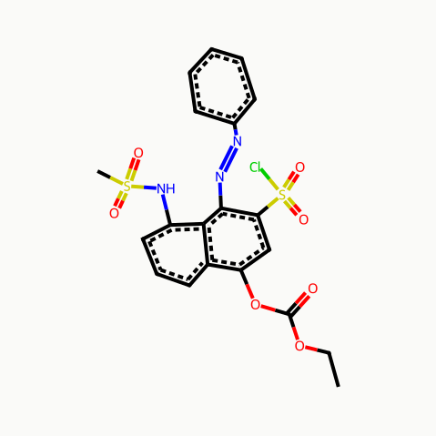 CCOC(=O)Oc1cc(S(=O)(=O)Cl)c(N=Nc2ccccc2)c2c(NS(C)(=O)=O)cccc12